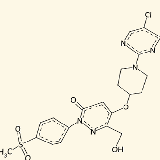 CS(=O)(=O)c1ccc(-n2nc(CO)c(OC3CCN(c4ncc(Cl)cn4)CC3)cc2=O)cc1